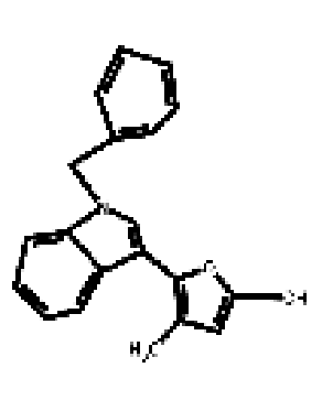 Cc1cc(O)oc1-c1cn(Cc2ccccc2)c2ccccc12